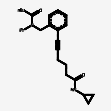 CCCCC(=O)N(Cc1ccccc1C#CCCCC(=O)NC1CC1)C(C)C